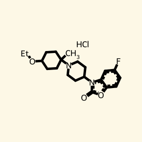 CCOC1CCC(C)(N2CCC(n3c(=O)oc4ccc(F)cc43)CC2)CC1.Cl